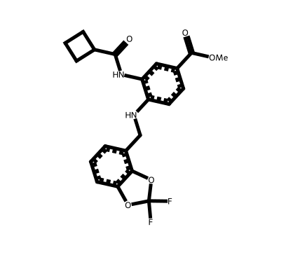 COC(=O)c1ccc(NCc2cccc3c2OC(F)(F)O3)c(NC(=O)C2CCC2)c1